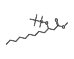 CCCCCCCCCC(CC(=O)OC)O[Si](C)(C)C(C)(C)C